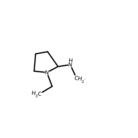 [CH2]NC1CCCN1CC